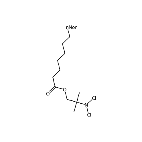 CCCCCCCCCCCCCCCC(=O)OCC(C)(C)N(Cl)Cl